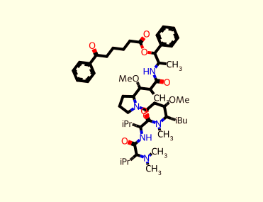 CCC(C)C(C(CC(=O)N1CCCC1C(OC)C(C)C(=O)NC(C)C(OC(=O)CCCCC(=O)c1ccccc1)c1ccccc1)OC)N(C)C(=O)C(NC(=O)C(C(C)C)N(C)C)C(C)C